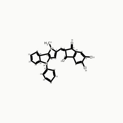 Cn1c(C=C2C(=O)c3cc(Cl)c(Cl)cc3C2=O)cc2c1c1ccccc1n2-c1ccccc1